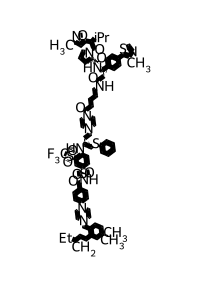 C=C(CC)CCC1=C(CN2CCN(c3ccc(C(=O)NS(=O)(=O)c4ccc(N[C@H](CCN5CCN(C(=O)CCCCNC(=O)C[C@H](NC(=O)[C@@H]6CCCN6C(=O)C(c6cc(C)no6)C(C)C)c6ccc(-c7scnc7C)cc6)CC5)CSc5ccccc5)c(S(=O)(=O)C(F)(F)F)c4)cc3)CC2)CCC(C)(C)C1